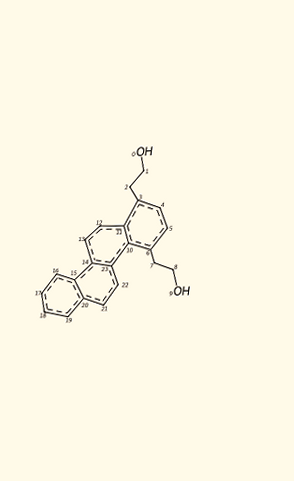 OCCc1ccc(CCO)c2c1ccc1c3ccccc3ccc12